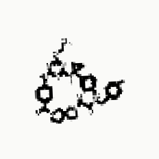 Cc1ccc(CNC(=O)C(=O)N2CCC3(CCN(C(=O)c4ccc(Nc5nc(NC6(c7ccc(Cl)cc7)CC6)nc(OCC(F)(F)F)n5)cc4)C3)C2)cc1